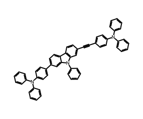 C(#Cc1ccc2c3ccc(-c4ccc(N(c5ccccc5)c5ccccc5)cc4)cc3n(-c3ccccc3)c2c1)c1ccc(N(c2ccccc2)c2ccccc2)cc1